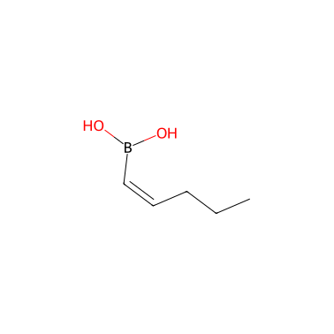 CCC/C=C\B(O)O